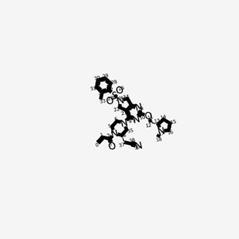 C=CC(=O)N1CCN(c2nc(OC[C@@H]3CCCN3C)nc3c2CN(S(=O)(=O)c2ccccc2C)C3)C[C@@H]1CC#N